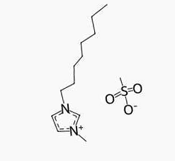 CCCCCCCCn1cc[n+](C)c1.CS(=O)(=O)[O-]